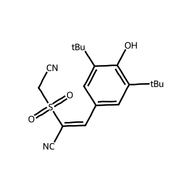 CC(C)(C)c1cc(C=C(C#N)S(=O)(=O)CC#N)cc(C(C)(C)C)c1O